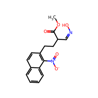 COC(=O)C(/C=N\O)CCc1ccc2ccccc2c1[N+](=O)[O-]